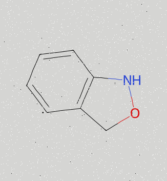 [c]1cccc2c1CON2